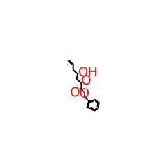 C=CC[C@@H](O)CC(=O)C(=O)OCc1ccccc1